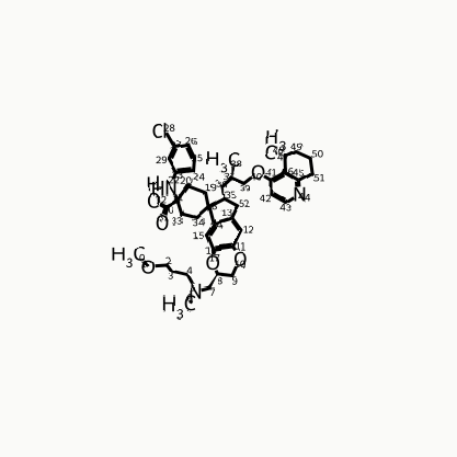 COCCCN(C)C[C@@H]1COc2cc3c(cc2O1)C1(CCC(Nc2cccc(Cl)c2)(C(=O)O)CC1)[C@@H](C[C@@H](C)COc1ccnc2c1[C@H](C)CCC2)C3